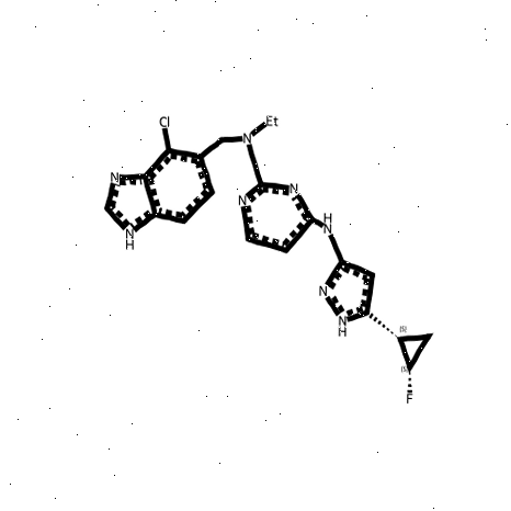 CCN(Cc1ccc2[nH]cnc2c1Cl)c1nccc(Nc2cc([C@@H]3C[C@@H]3F)[nH]n2)n1